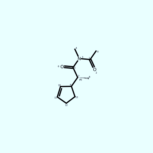 CC(=O)N(C)C(=O)[C@H](C)C1C=CCC1